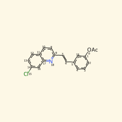 CC(=O)Oc1cccc(C=Cc2ccc3ccc(Cl)cc3n2)c1